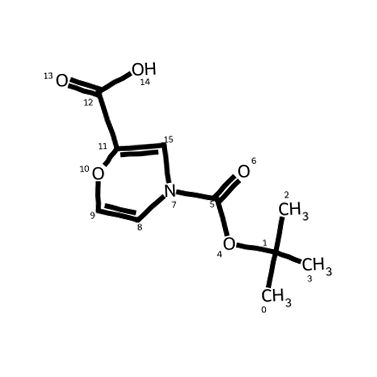 CC(C)(C)OC(=O)N1C=COC(C(=O)O)=C1